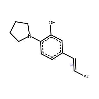 CC(=O)/C=C/c1ccc(N2CCCC2)c(O)c1